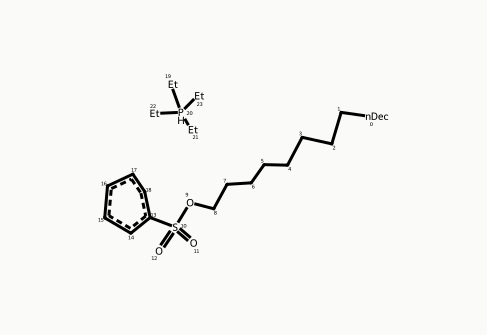 CCCCCCCCCCCCCCCCCCOS(=O)(=O)c1ccccc1.CC[PH](CC)(CC)CC